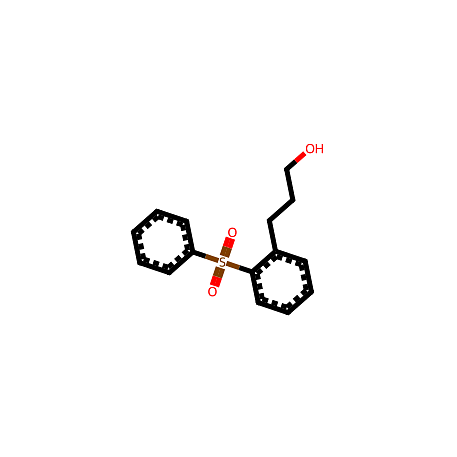 O=S(=O)(c1ccccc1)c1ccccc1CCCO